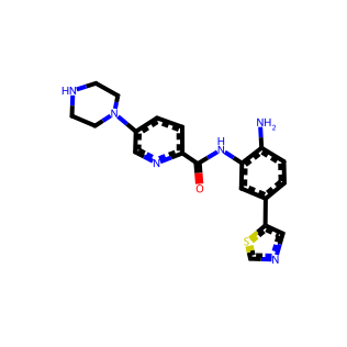 Nc1ccc(-c2cncs2)cc1NC(=O)c1ccc(N2CCNCC2)cn1